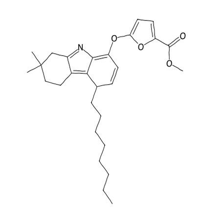 CCCCCCCCC1C=CC(Oc2ccc(C(=O)OC)o2)=C2N=C3CC(C)(C)CCC3=C21